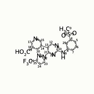 CS(=O)(=O)c1cccc(Nc2ncc(-c3cncc(C(=O)O)c3)c(-n3ccc(C(F)(F)F)n3)n2)c1